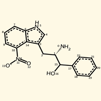 N[C@@H](Cc1c[nH]c2cccc([N+](=O)[O-])c12)C(O)c1ccccc1